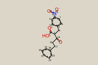 O=C(O)C(Cc1ccc([N+](=O)[O-])cc1)C(=O)CCc1ccccc1